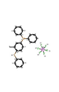 Cc1cc([S+](c2ccccc2)c2ccccc2)ccc1Sc1ccccc1.F[P-](F)(F)(F)(F)F